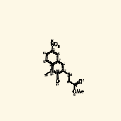 COC(=O)CSc1cc2cc([N+](=O)[O-])ccc2n(C)c1=O